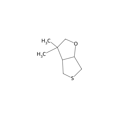 CC1(C)COC2CSCC21